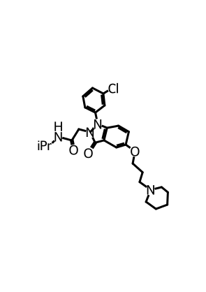 CC(C)NC(=O)Cn1c(=O)c2cc(OCCCN3CCCCC3)ccc2n1-c1cccc(Cl)c1